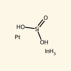 O=[Si](O)O.[InH3].[Pt]